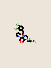 CC(F)(F)CN1CCN(C(=O)Cc2ccc(Cl)c(Cl)c2)[C@@H]2C(N3CCCC3)COCC21